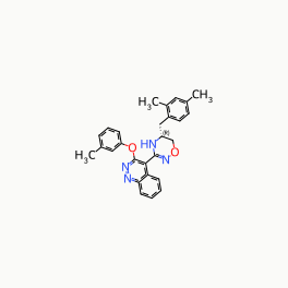 Cc1cccc(Oc2nnc3ccccc3c2C2=NOC[C@@H](Cc3ccc(C)cc3C)N2)c1